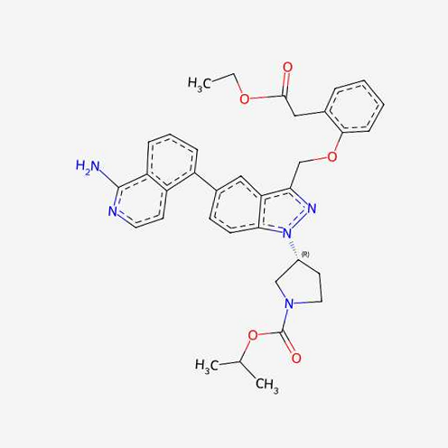 CCOC(=O)Cc1ccccc1OCc1nn([C@@H]2CCN(C(=O)OC(C)C)C2)c2ccc(-c3cccc4c(N)nccc34)cc12